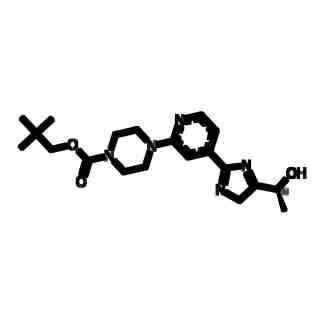 C[C@H](O)C1=NC(c2ccnc(N3CCN(C(=O)OCC(C)(C)C)CC3)c2)=NC1